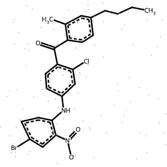 CCCCc1ccc(C(=O)c2ccc(Nc3ccc(Br)cc3[N+](=O)[O-])cc2Cl)c(C)c1